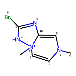 CN1C=C[N+]2(C)NC(Br)=NC2=C1